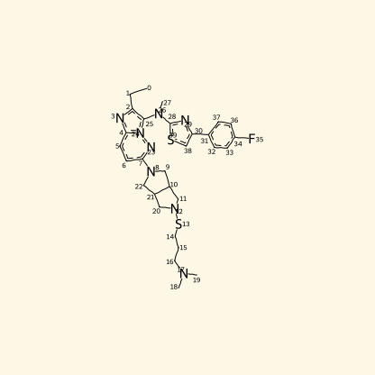 CCc1nc2ccc(N3CC4CN(SCCCN(C)C)CC4C3)nn2c1N(C)c1nc(-c2ccc(F)cc2)cs1